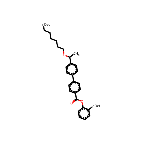 CCCCCCCCCCCCCCCCOC(C)c1ccc(-c2ccc(C(=O)Oc3ccccc3CCCCCCCC)cc2)cc1